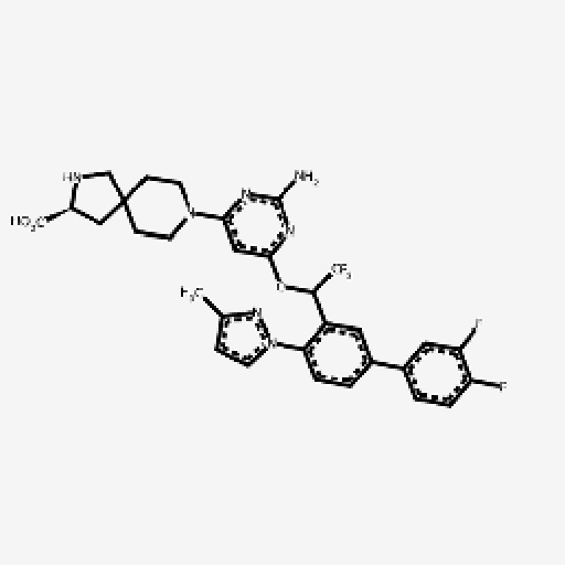 Cc1ccn(-c2ccc(-c3ccc(F)c(F)c3)cc2C(Oc2cc(N3CCC4(CC3)CN[C@H](C(=O)O)C4)nc(N)n2)C(F)(F)F)n1